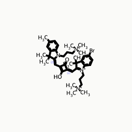 Cc1ccc2c(c1)C(C)(C)/C(=C/C1=C(O)C(=C/C3=[N+](CCC[N+](C)(C)C)c4ccc(Br)cc4C3(C)C)/C1=O)N2CCC[N+](C)(C)C